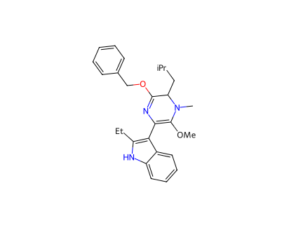 CCc1[nH]c2ccccc2c1C1=C(OC)N(C)C(CC(C)C)C(OCc2ccccc2)=N1